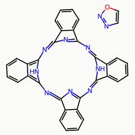 c1ccc2c(c1)-c1nc-2nc2[nH]c(nc3nc(nc4[nH]c(n1)c1ccccc41)-c1ccccc1-3)c1ccccc21.c1conn1